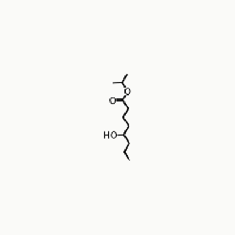 CCCC(O)CCCC(=O)OC(C)C